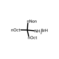 Br.CCCCCCCCCC(N)(CCCCCCCC)CCCCCCCC